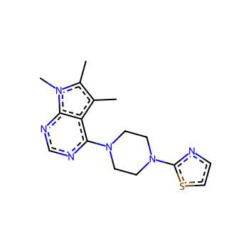 Cc1c(C)n(C)c2ncnc(N3CCN(c4nccs4)CC3)c12